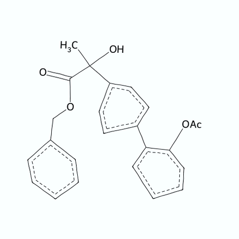 CC(=O)Oc1ccccc1-c1ccc(C(C)(O)C(=O)OCc2ccccc2)cc1